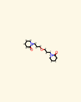 O=C1CCCCN1CCCOCCCN1CCCCC1=O